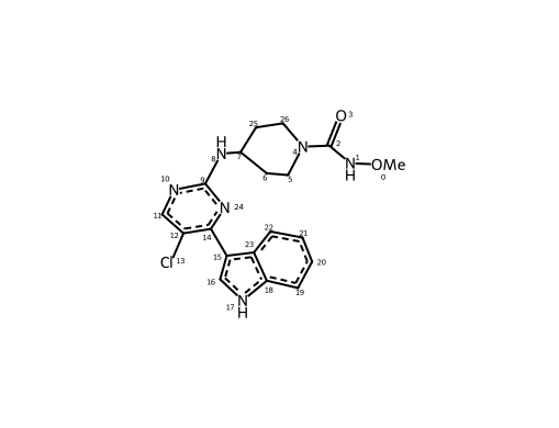 CONC(=O)N1CCC(Nc2ncc(Cl)c(-c3c[nH]c4ccccc34)n2)CC1